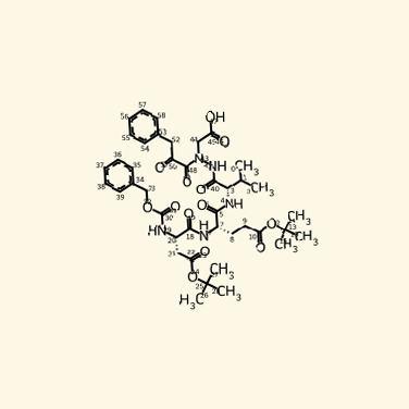 CC(C)[C@H](NC(=O)[C@H](CCC(=O)OC(C)(C)C)NC(=O)[C@H](CC(=O)OC(C)(C)C)NC(=O)OCc1ccccc1)C(=O)NN(CC(=O)O)C(=O)C(=O)Cc1ccccc1